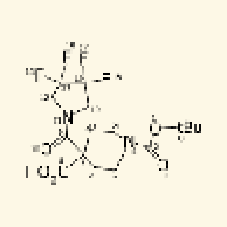 CC(C)(C)OC(=O)N1CCC(C(=O)O)(C(=O)N2CC(F)(F)C(F)(F)C2)CC1